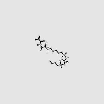 C=C(C)C(=O)NC(C)C(=O)NCOCCC[Si](C)(C)O[Si](C)(C)C[Si](C)(C)CCCC